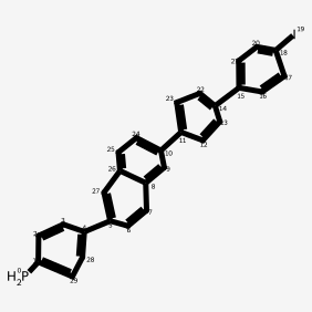 Pc1ccc(-c2ccc3cc(-c4ccc(-c5ccc(I)cc5)cc4)ccc3c2)cc1